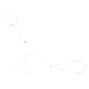 O=CC(F)C(OC(=O)C=Cc1ccccc1)C(Br)COC(=O)C=Cc1ccccc1